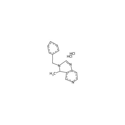 CC1c2cnccc2N=CN1Cc1ccccc1.Cl.Cl